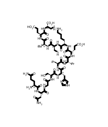 CC[C@H](C)[C@H](NC(=O)[C@H](CS)NC(=O)[C@H](CCCCN)NC(=O)[C@H](CCC(=O)O)NC(=O)[C@@H](NC(=O)[C@@H](NC(=O)[C@H](Cc1c[nH]cn1)NC(=O)[C@H](CO)NC(=O)CNC(=O)[C@H](CC(N)=O)NC(=O)[C@@H](N)CCC(N)=O)C(C)C)C(C)C)C(=O)N[C@@H](CCC(=O)O)C(=O)N[C@@H](CS)C(=O)O